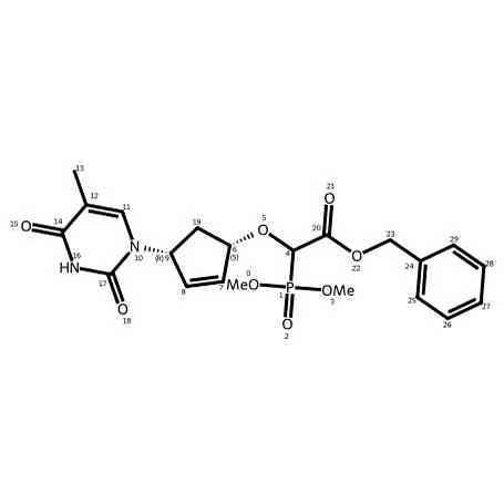 COP(=O)(OC)C(O[C@@H]1C=C[C@H](n2cc(C)c(=O)[nH]c2=O)C1)C(=O)OCc1ccccc1